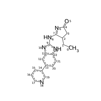 CCC1CC(=O)N=C1Nc1nc2cc(-c3cccnc3)ccc2[nH]1